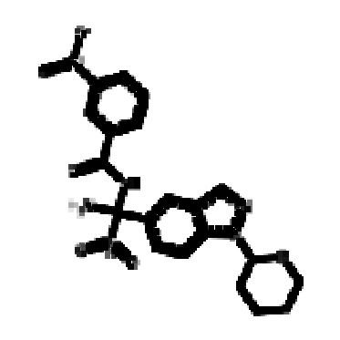 NC(NC(=O)c1cccc([N+](=O)[O-])c1)(c1ccc2c(cnn2C2CCCCO2)c1)[SH](=O)=O